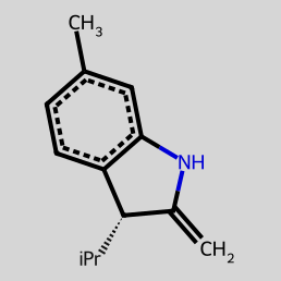 C=C1Nc2cc(C)ccc2[C@H]1C(C)C